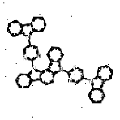 c1ccc2c(c1)c1ccccc1n2-c1cnc(-n2c3ccccc3c3c2ccc2c4ccccc4n(-c4ncc(-n5c6ccccc6c6ccccc65)cn4)c23)nc1